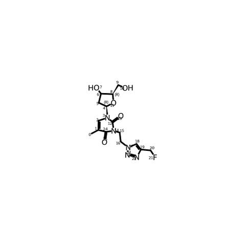 Cc1cn([C@H]2CC(O)[C@@H](CO)O2)c(=O)n(CCn2cc(CF)nn2)c1=O